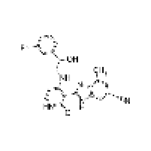 Cc1cc(C#N)cc2[nH]c(-c3c(NCC(O)c4cccc(Br)c4)cc[nH]c3=O)nc12